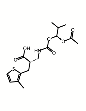 CC(=O)O[C@@H](OC(=O)NC[C@H](Cc1sccc1C)C(=O)O)C(C)C